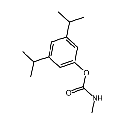 CNC(=O)Oc1cc(C(C)C)cc(C(C)C)c1